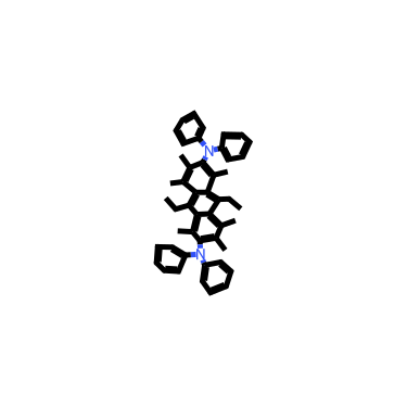 CCc1c2c(C)c(C)c(N(c3ccccc3)c3ccccc3)c(C)c2c(CC)c2c(C)c(C)c(N(c3ccccc3)c3ccccc3)c(C)c12